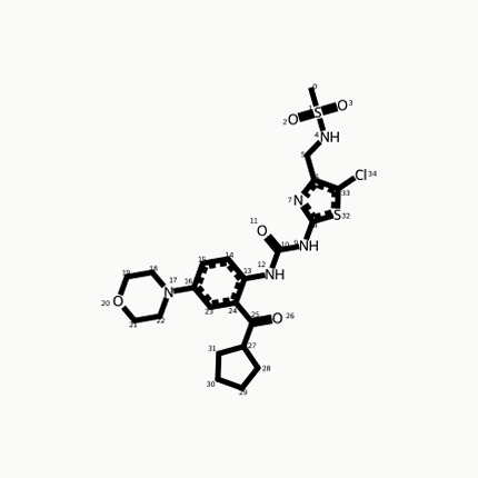 CS(=O)(=O)NCc1nc(NC(=O)Nc2ccc(N3CCOCC3)cc2C(=O)C2CCCC2)sc1Cl